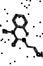 C=CCOC(=O)N(CC)c1ccccc1F